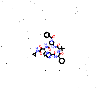 CCC[C@H](NC(=O)[C@@H]1CN(C(=O)c2ccccc2)C[C@@H]1NC(=O)[C@@H](NC(=O)[C@@H](NC(=O)c1cnccn1)C1CCCCC1)C(C)(C)C)C(=O)C(=O)NC1CC1